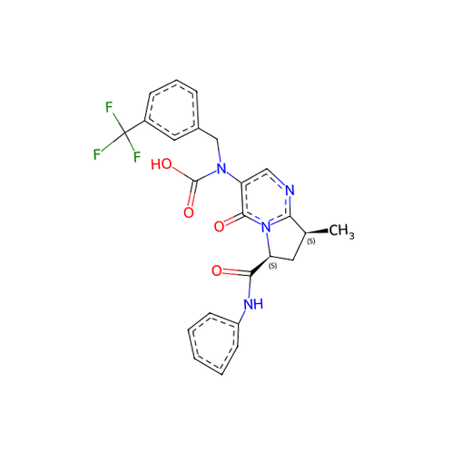 C[C@H]1C[C@@H](C(=O)Nc2ccccc2)n2c1ncc(N(Cc1cccc(C(F)(F)F)c1)C(=O)O)c2=O